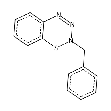 c1ccc(CN2N=Nc3ccccc3S2)cc1